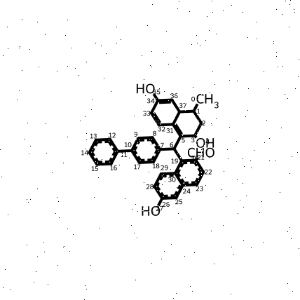 CC1CC(O)C(C(c2ccc(-c3ccccc3)cc2)c2c(C=O)ccc3cc(O)ccc23)=C2C=CC(O)=CC21